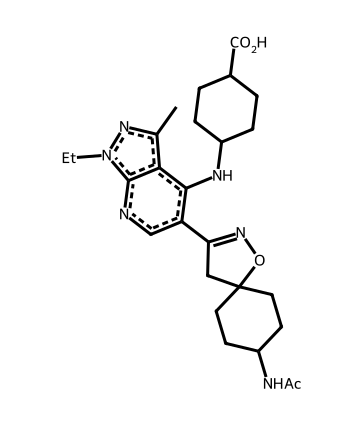 CCn1nc(C)c2c(NC3CCC(C(=O)O)CC3)c(C3=NOC4(CCC(NC(C)=O)CC4)C3)cnc21